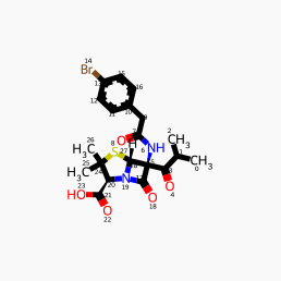 CC(C)C(=O)[C@]1(NC(=O)Cc2ccc(Br)cc2)C(=O)N2[C@@H](C(=O)O)C(C)(C)S[C@@H]21